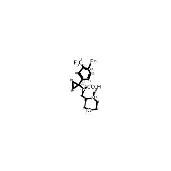 CN1CCOCC1CN(C(=O)O)C1(c2ccc(F)c(C(F)(F)F)c2)CC1